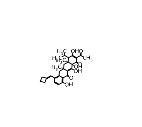 CC(=O)C1=C(O)C(C(C)C)[C@@]2(C)C[C@@]3(C)Cc4c(C=C5CCC5)ccc(O)c4C(=O)C3=C(O)[C@@]2(O)C1=O